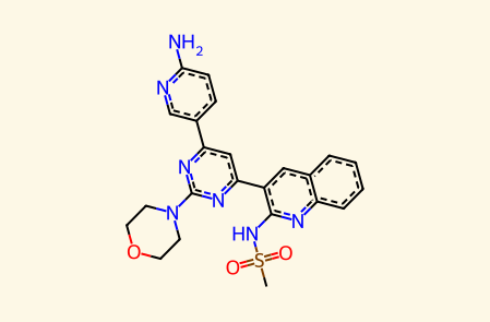 CS(=O)(=O)Nc1nc2ccccc2cc1-c1cc(-c2ccc(N)nc2)nc(N2CCOCC2)n1